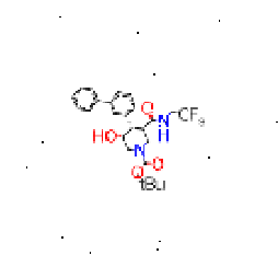 CC(C)(C)OC(=O)N1C[C@@H](O)[C@H](c2cccc(-c3ccccc3)c2)[C@@H](C(=O)NCC(F)(F)F)C1